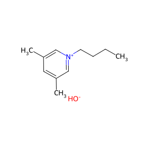 CCCC[n+]1cc(C)cc(C)c1.[OH-]